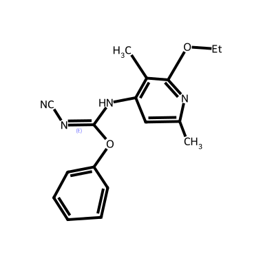 CCOc1nc(C)cc(N/C(=N\C#N)Oc2ccccc2)c1C